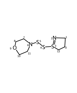 C1CN=S(SSN2CCOCC2)C1